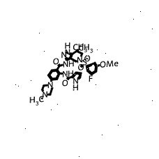 COc1cc(F)cc(S(=O)(=O)N2Cc3c(NC(=O)c4ccc(N5CCN(C)CC5)cc4NC(=O)c4ccc[nH]4)n[nH]c3C(C)(C)C2)c1